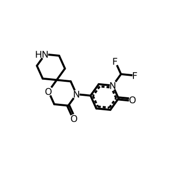 O=C1COC2(CCNCC2)CN1c1ccc(=O)n(C(F)F)c1